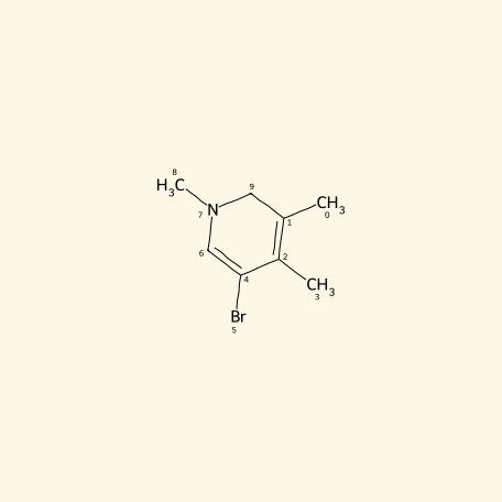 CC1=C(C)C(Br)=CN(C)C1